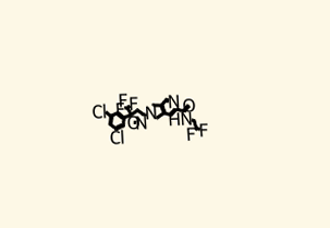 O=C(NCC(F)F)c1cc2c(cn1)CN(C1=NOC(c3cc(Cl)cc(Cl)c3)(C(F)(F)F)C1)C2